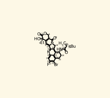 CC[C@@]1(O)C(=O)OCc2c1cc1n(c2=O)Cc2c-1nc1cc(F)c(Br)c3c1c2[C@@H](NC(=O)[C@H](C)C(C)(C)C)CC3